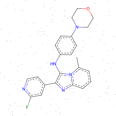 Cc1cccc2nc(-c3ccnc(F)c3)c(Nc3ccc(N4CCOCC4)cc3)n12